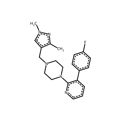 Cc1nn(C)cc1CN1CCN(c2ncccc2-c2ccc(F)cc2)CC1